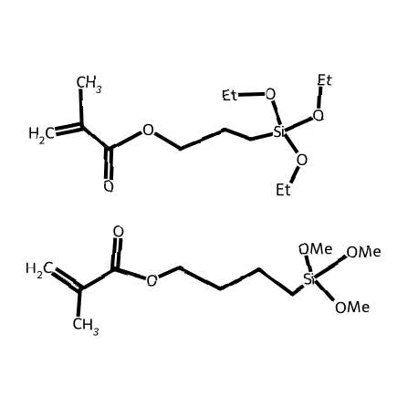 C=C(C)C(=O)OCCCC[Si](OC)(OC)OC.C=C(C)C(=O)OCCC[Si](OCC)(OCC)OCC